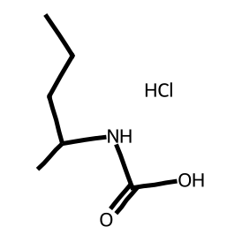 CCCC(C)NC(=O)O.Cl